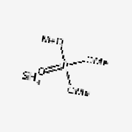 COP(=O)(OC)OC.[SiH4]